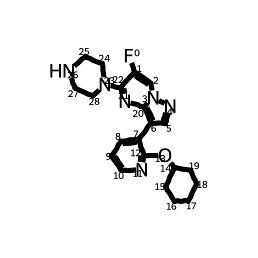 Fc1cn2ncc(-c3cccnc3OC3CCCCC3)c2nc1N1CCNCC1